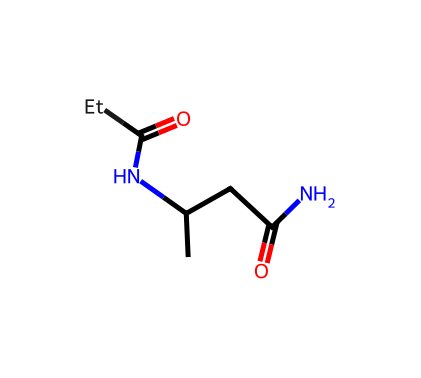 CCC(=O)NC(C)CC(N)=O